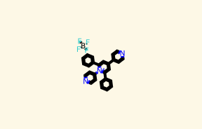 F[B-](F)(F)F.c1ccc(-c2cc(-c3ccncc3)cc(-c3ccccc3)[n+]2-c2ccncc2)cc1